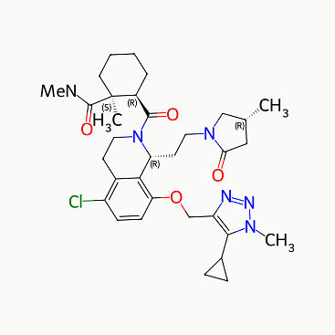 CNC(=O)[C@@]1(C)CCCC[C@H]1C(=O)N1CCc2c(Cl)ccc(OCc3nnn(C)c3C3CC3)c2[C@H]1CCN1C[C@H](C)CC1=O